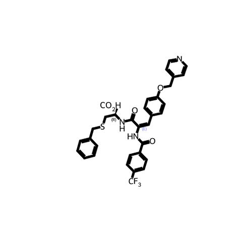 O=C(N[C@@H](CSCc1ccccc1)C(=O)O)/C(=C\c1ccc(OCc2ccncc2)cc1)NC(=O)c1ccc(C(F)(F)F)cc1